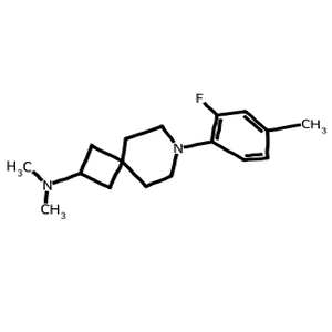 Cc1ccc(N2CCC3(CC2)CC(N(C)C)C3)c(F)c1